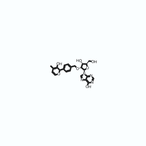 CC1=C(O)C(c2ccc(CO[C@@H]3[C@H](O)[C@@H](CO)O[C@H]3n3cnc4c(O)ncnc43)cc2)OC=C1